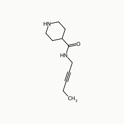 CCC#CCNC(=O)C1CCNCC1